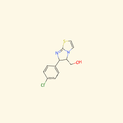 OCC1C(c2ccc(Cl)cc2)N=C2SC=CN21